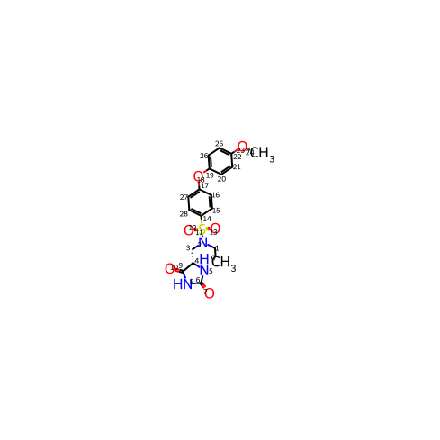 CCN(C[C@@H]1NC(=O)NC1=O)S(=O)(=O)c1ccc(Oc2ccc(OC)cc2)cc1